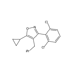 CC(C)Cc1c(-c2c(Cl)cccc2Cl)noc1C1CC1